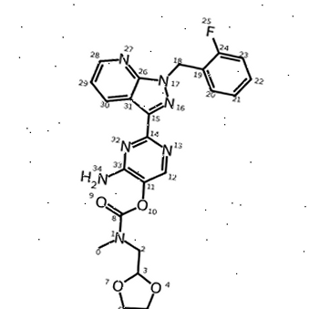 CN(CC1OCCO1)C(=O)Oc1cnc(-c2nn(Cc3ccccc3F)c3ncccc23)nc1N